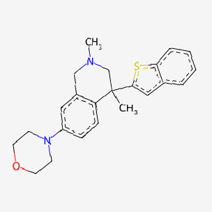 CN1Cc2cc(N3CCOCC3)ccc2C(C)(c2cc3ccccc3s2)C1